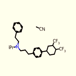 CC#N.CC(C)N(CCCc1ccc(C2CCC(C(F)(F)F)C(C(F)(F)F)C2)cc1)CCc1ccccc1